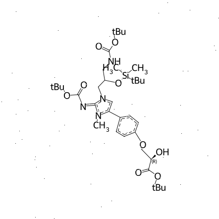 Cn1c(-c2ccc(OC[C@@H](O)C(=O)OC(C)(C)C)cc2)cn(CC(CNC(=O)OC(C)(C)C)O[Si](C)(C)C(C)(C)C)c1=NC(=O)OC(C)(C)C